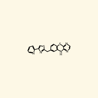 c1ccc(-c2csc(Cc3ccc4c(c3)Nc3nccnc3S4)n2)nc1